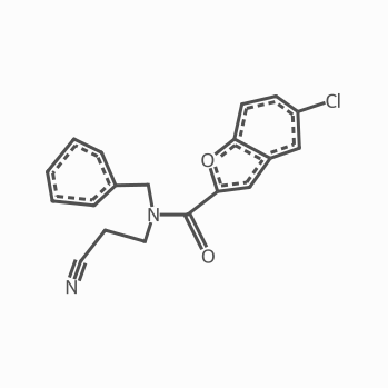 N#CCCN(Cc1ccccc1)C(=O)c1cc2cc(Cl)ccc2o1